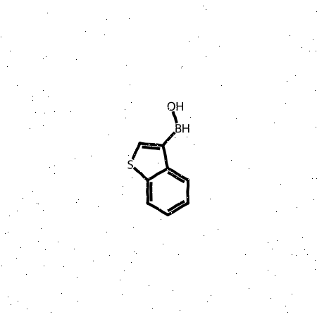 OBc1csc2ccccc12